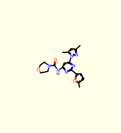 Cc1cc(C)n(-c2cc(NC(=O)N3CCOCC3)nc(-c3ccc(C)o3)n2)n1